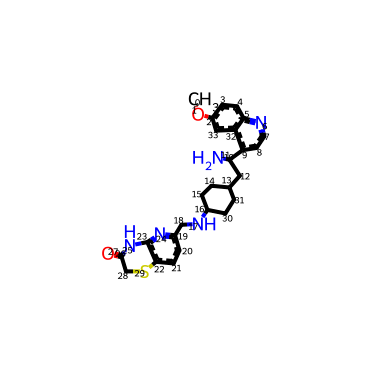 COc1ccc2nccc(C(N)CC3CCC(NCc4ccc5c(n4)NC(=O)CS5)CC3)c2c1